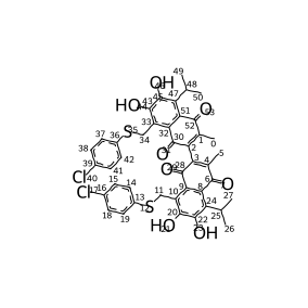 CC1=C(C2=C(C)C(=O)c3c(c(CSc4ccc(Cl)cc4)c(O)c(O)c3C(C)C)C2=O)C(=O)c2c(CSc3ccc(Cl)cc3)c(O)c(O)c(C(C)C)c2C1=O